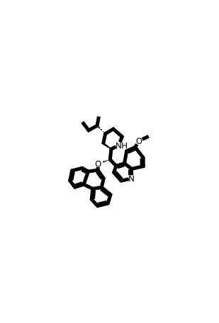 CCC(C)[C@@H]1CCN[C@@H]([C@@H](Oc2cc3ccccc3c3ccccc23)c2ccnc3ccc(OC)cc23)C1